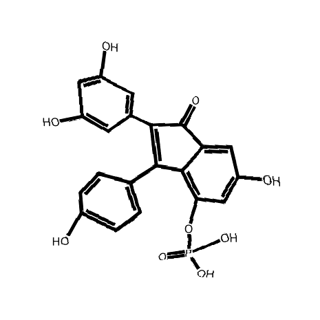 O=C1C(c2cc(O)cc(O)c2)=C(c2ccc(O)cc2)c2c(OP(=O)(O)O)cc(O)cc21